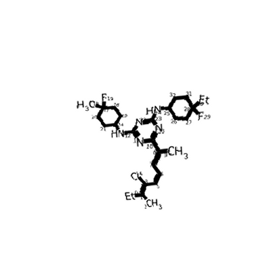 CC/C(C)=C(Cl)/C=C\C=C(/C)c1nc(NC2CCC(C)(F)CC2)nc(NC2CCC(F)(CC)CC2)n1